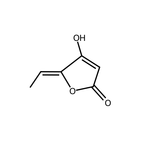 CC=C1OC(=O)C=C1O